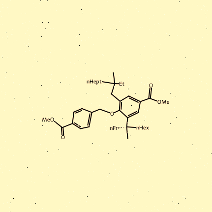 CCCCCCCC(C)(CC)Cc1cc(C(=O)OC)cc([C@@](C)(CCC)CCCCCC)c1OCc1ccc(C(=O)OC)cc1